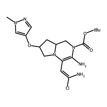 Cn1cc(OC2CC3CN(C(=O)OC(C)(C)C)C(N)=C(/C=C(\N)Cl)N3C2)cn1